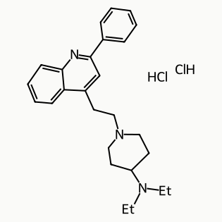 CCN(CC)C1CCN(CCc2cc(-c3ccccc3)nc3ccccc23)CC1.Cl.Cl